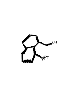 CCCc1cccc2cccc(CO)c12